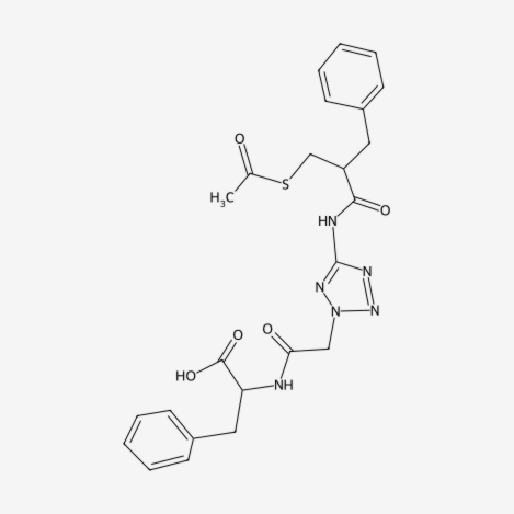 CC(=O)SCC(Cc1ccccc1)C(=O)Nc1nnn(CC(=O)NC(Cc2ccccc2)C(=O)O)n1